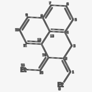 CCC=C1Cc2cccc3cccc(c23)C1=CCC